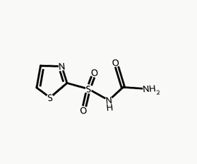 NC(=O)NS(=O)(=O)c1nccs1